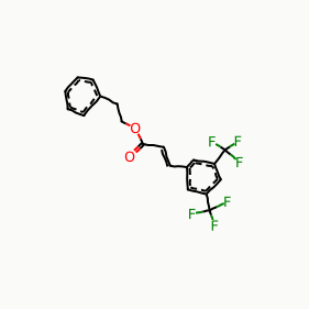 O=C(C=Cc1cc(C(F)(F)F)cc(C(F)(F)F)c1)OCCc1ccccc1